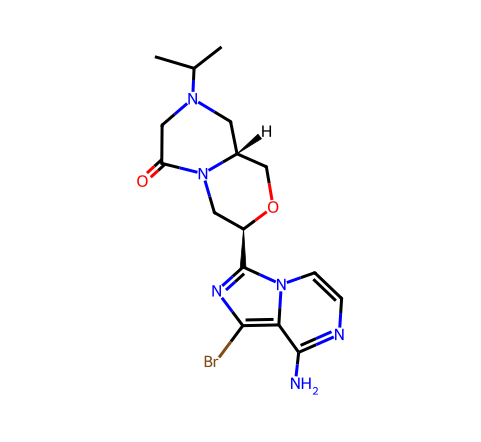 CC(C)N1CC(=O)N2C[C@H](c3nc(Br)c4c(N)nccn34)OC[C@H]2C1